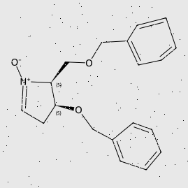 [O-][N+]1=CC[C@H](OCc2ccccc2)[C@@H]1COCc1ccccc1